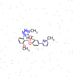 COc1cccc(-n2nnn(C)c2=O)c1COc1ccc(-c2cccc(C)n2)cc1C